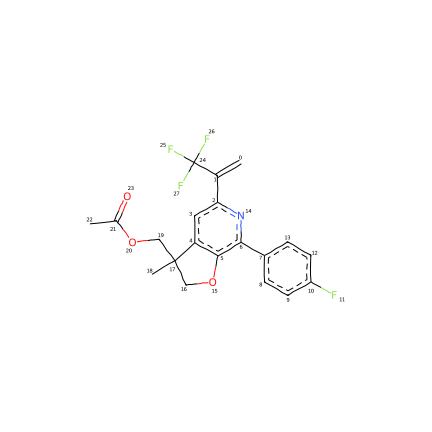 C=C(c1cc2c(c(-c3ccc(F)cc3)n1)OCC2(C)COC(C)=O)C(F)(F)F